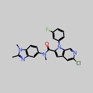 Cc1nc2cc(N(C)C(=O)c3cc4cc(Cl)ncc4n3-c3cccc(F)c3)ccc2n1C